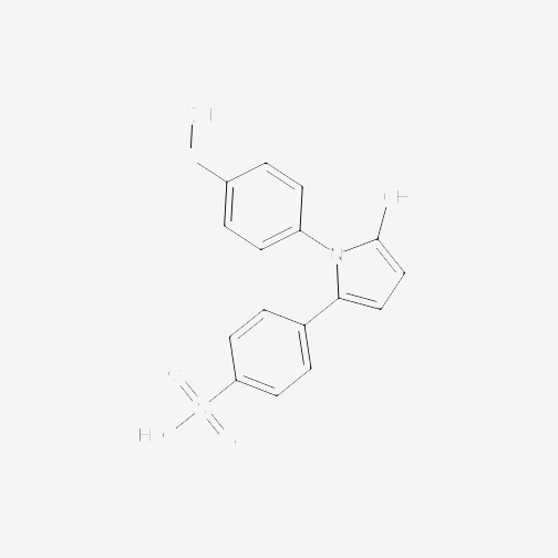 CSc1ccc(-n2c(C)ccc2-c2ccc(S(C)(=O)=O)cc2)cc1